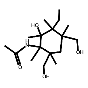 CCC1(C)C(C)(CO)CC(C)(CO)C(C)(NC(C)=O)C1(C)O